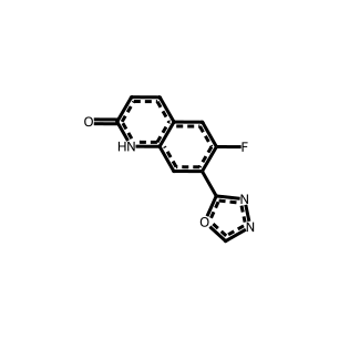 O=c1ccc2cc(F)c(-c3nnco3)cc2[nH]1